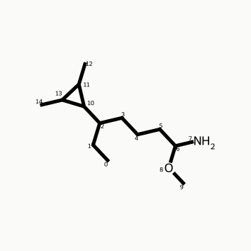 CCC(CCCC(N)OC)C1C(C)C1C